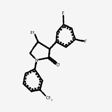 CCC1CN(c2cccc(C(F)(F)F)c2)C(=O)C1c1cc(F)cc(F)c1